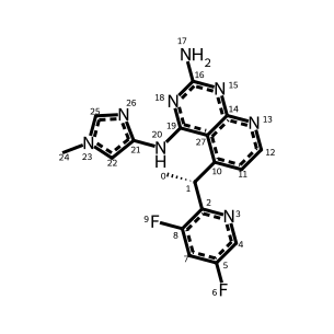 C[C@@H](c1ncc(F)cc1F)c1ccnc2nc(N)nc(Nc3cn(C)cn3)c12